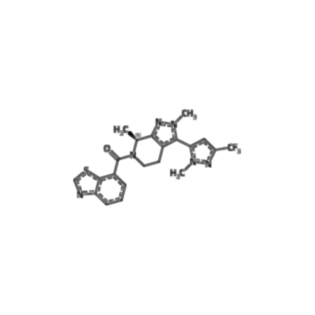 C[C@H]1c2nn(C)c(-c3cc(C(F)(F)F)nn3C)c2CCN1C(=O)c1cccc2ncsc12